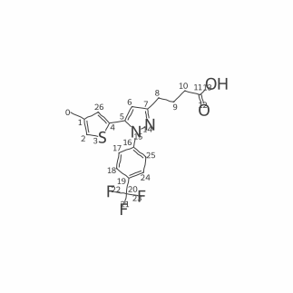 Cc1csc(-c2cc(CCCC(=O)O)nn2-c2ccc(C(F)(F)F)cc2)c1